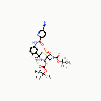 CC(C)(C)OC(=O)N=C1NC(C)(c2cc(NC(=O)c3ccc(C#N)cn3)ccc2F)CS(=O)(=O)C12CN(C(=O)OC(C)(C)C)C2